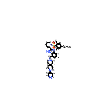 COc1cc(C)c(S(=O)(=O)N2CCCCC2c2nc3cccc(CN4CCC5(CC4)CCN(c4ccncc4)CC5)c3[nH]2)c(C)c1